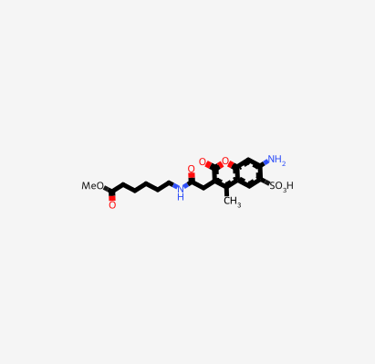 COC(=O)CCCCCNC(=O)Cc1c(C)c2cc(S(=O)(=O)O)c(N)cc2oc1=O